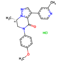 COc1ccc(N2C[C@H](C)n3ncc(-c4ccnc(C)c4)c3C2=O)cc1.Cl